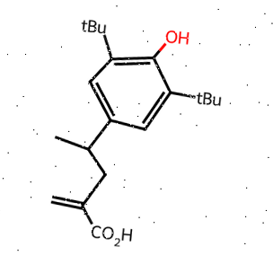 C=C(CC(C)c1cc(C(C)(C)C)c(O)c(C(C)(C)C)c1)C(=O)O